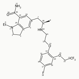 CCN1CCc2cc(C[C@@H](C)NCCOc3ccc(F)cc3OCC(F)(F)F)cc(C(N)=O)c21